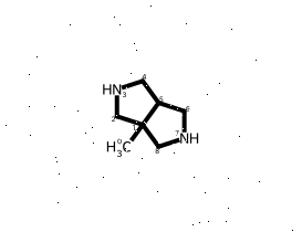 CC12CNCC1CNC2